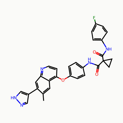 Cc1cc2c(Oc3ccc(NC(=O)C4(C(=O)Nc5ccc(F)cc5)CC4)cc3)ccnc2cc1-c1cn[nH]c1